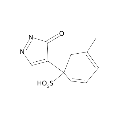 CC1=CC=CC(C2=CN=NC2=O)(S(=O)(=O)O)C1